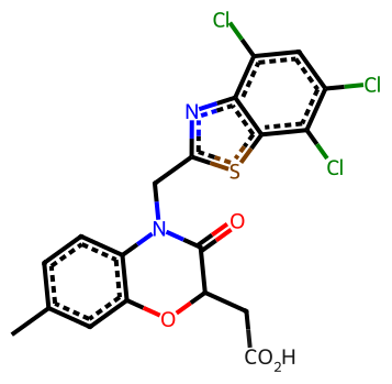 Cc1ccc2c(c1)OC(CC(=O)O)C(=O)N2Cc1nc2c(Cl)cc(Cl)c(Cl)c2s1